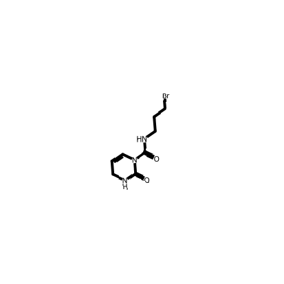 O=C1NCC=CN1C(=O)NCCCBr